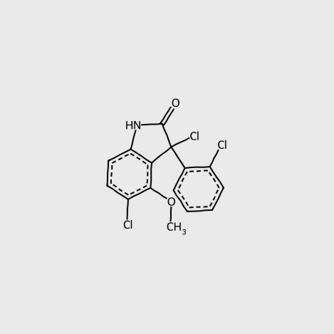 COc1c(Cl)ccc2c1C(Cl)(c1ccccc1Cl)C(=O)N2